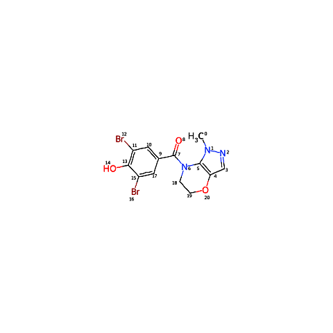 Cn1ncc2c1N(C(=O)c1cc(Br)c(O)c(Br)c1)CCO2